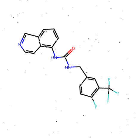 O=C(NCc1ccc(F)c(C(F)(F)F)c1)Nc1cccc2cnccc12